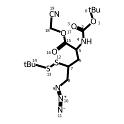 CC(C)(C)OC(=O)NC(CC(CN=[N+]=[N-])SSC(C)(C)C)C(=O)OCC#N